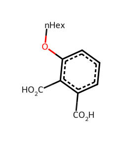 CCCCCCOc1cccc(C(=O)O)c1C(=O)O